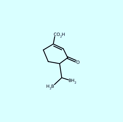 BC(B)C1CCC(C(=O)O)=CC1=O